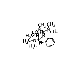 CN(C)C(=NP(=Nc1ccccc1)(N(C)C)N(C)C)N(C)C